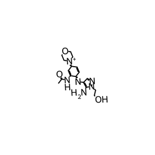 CC(=O)NC1=CC(=[N+]2CCOCC2)C=CC1=Nc1cnn(CCO)c1N